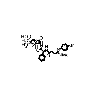 CNC(CCC(=O)NC(C(=O)N[C@@H]1C(=O)N2[C@@H]1SC(C)(C)[C@@H]2C(=O)O)c1ccccc1)=Nc1ccc(Br)cc1